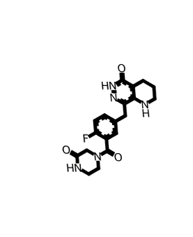 O=C1CN(C(=O)c2cc(Cc3n[nH]c(=O)c4c3NCCC4)ccc2F)CCN1